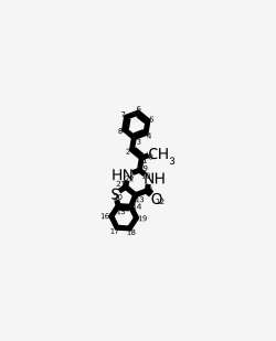 CC(=Cc1ccccc1)C1NC(=O)C2C3=C(CCCC3)SC2N1